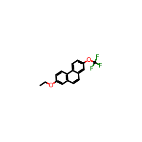 CCOc1ccc2c(ccc3cc(OC(F)(F)F)ccc32)c1